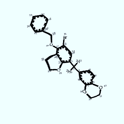 [2H]C([2H])(c1ccc2c(c1)OCCO2)c1cc(Br)c(OCc2ccccc2)c2c1OCC2